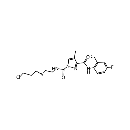 Cc1cn(C(=O)NCCSCCCCl)nc1C(=O)Nc1ccc(F)cc1Cl